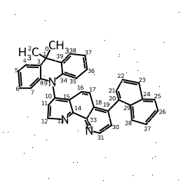 CC1(C)c2ccccc2N(c2ccnc3c2ccc2c(-c4cccc5ccccc45)ccnc23)c2ccccc21